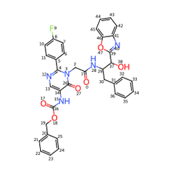 O=C(Cn1c(-c2ccc(F)cc2)ncc(NC(=O)OCc2ccccc2)c1=O)NC(Cc1ccccc1)C(O)c1nc2ccccc2o1